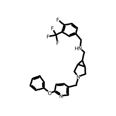 Fc1ccc(CNCC2C3CN(Cc4ccc(Oc5ccccc5)nc4)CC23)cc1C(F)(F)F